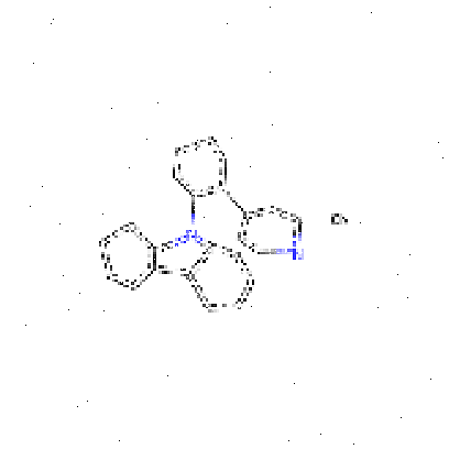 N#Cc1cc(-c2ccccc2-n2c3ccccc3c3ccccc32)ccn1